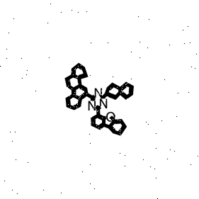 c1ccc2cc(-c3nc(-c4cc5c6ccccc6ccc5c5ccccc45)nc(-c4cccc5c4oc4ccccc45)n3)ccc2c1